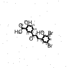 O=C(C=Cc1cc(Br)cc(Br)c1O)c1ccc(O)c(C(=O)O)c1